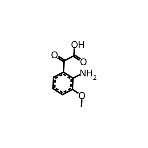 COc1cccc(C(=O)C(=O)O)c1N